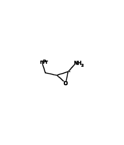 CCCCC1O[C]1N